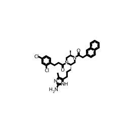 Cc1nc(N)[nH]c1CCC[C@H]1CN(C(=O)Cc2ccc3ccccc3c2)[C@H](C)CN1C(=O)CCc1ccc(Cl)cc1Cl